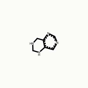 c1ncc2c(n1)CNCN2